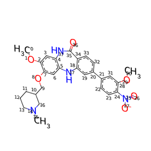 COc1cc2c(cc1OCC1CCCN(C)C1)Nc1cc(-c3ccc([N+](=O)[O-])c(OC)c3)ccc1C(=O)N2